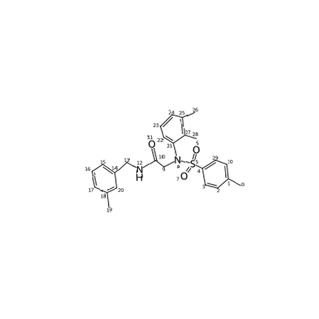 Cc1ccc(S(=O)(=O)N(CC(=O)NCc2cccc(C)c2)c2cccc(C)c2C)cc1